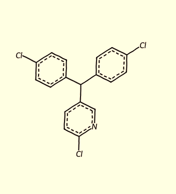 Clc1ccc(C(c2ccc(Cl)cc2)c2ccc(Cl)nc2)cc1